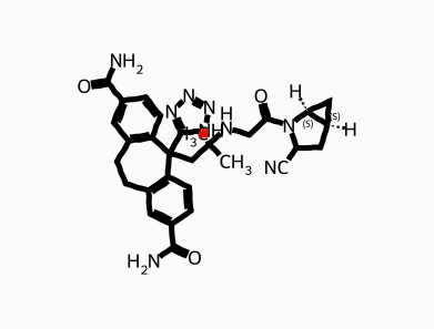 CC(C)(CC1(c2nnn[nH]2)c2ccc(C(N)=O)cc2CCc2cc(C(N)=O)ccc21)NCC(=O)N1C(C#N)C[C@@H]2C[C@@H]21